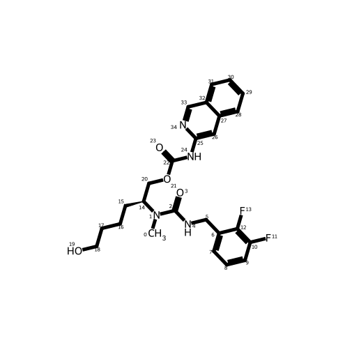 CN(C(=O)NCc1cccc(F)c1F)[C@@H](CCCCO)COC(=O)Nc1cc2ccccc2cn1